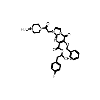 CN1CCN(C(=O)Cn2ccn3c(=O)c(OCc4ccccc4)c(C(=O)SC(C=O)Cc4ccc(F)cc4)nc23)CC1